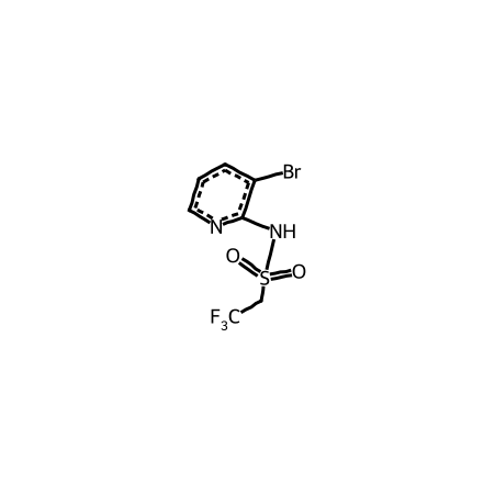 O=S(=O)(CC(F)(F)F)Nc1ncccc1Br